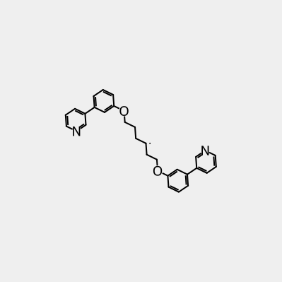 [CH](CCCOc1cccc(-c2cccnc2)c1)CCOc1cccc(-c2cccnc2)c1